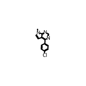 Cn1ccc2c(-c3ccc(Cl)cc3)ncnc21